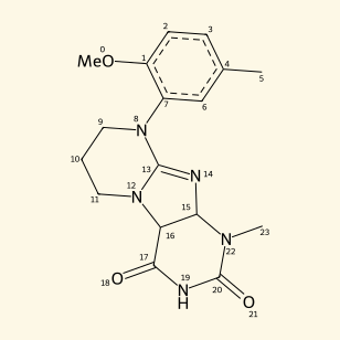 COc1ccc(C)cc1N1CCCN2C1=NC1C2C(=O)NC(=O)N1C